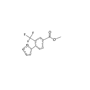 COC(=O)c1ccc(-c2ccco2)c(C(F)(F)F)c1